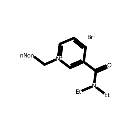 CCCCCCCCCC[n+]1cccc(C(=O)N(CC)CC)c1.[Br-]